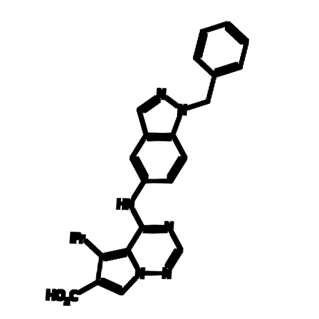 CC(C)c1c(C(=O)O)cn2ncnc(Nc3ccc4c(cnn4Cc4ccccc4)c3)c12